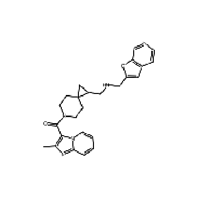 Cc1nc2ccccn2c1C(=O)N1CCC2(CC1)CC2CNCc1cc2ccncc2o1